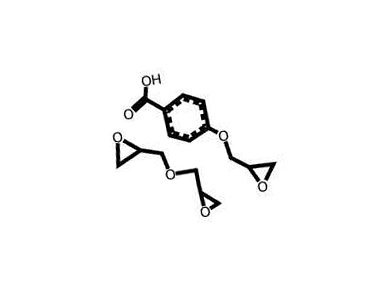 C(OCC1CO1)C1CO1.O=C(O)c1ccc(OCC2CO2)cc1